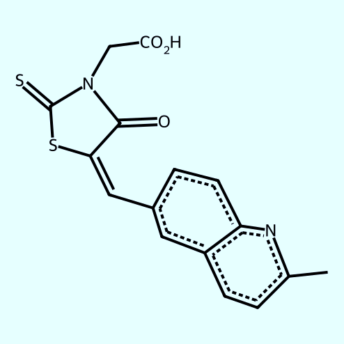 Cc1ccc2cc(C=C3SC(=S)N(CC(=O)O)C3=O)ccc2n1